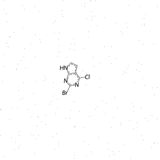 Clc1nc(Br)nc2[nH]ccc12